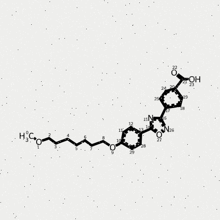 COCCCCCCCOc1ccc(-c2nc(-c3ccc(C(=O)O)cc3)no2)cc1